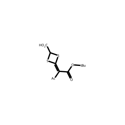 CC(=O)C(C(=O)OC(C)(C)C)=C1SC(C(=O)O)S1